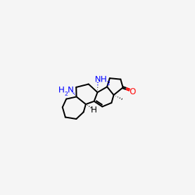 C[C@]12CC=C3[C@H]4CCCCC[C@@]4(N)CC[C@@]3(N)C1CCC2=O